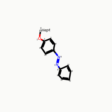 CCCCCCCOc1ccc(/N=N/c2ccccc2)cc1